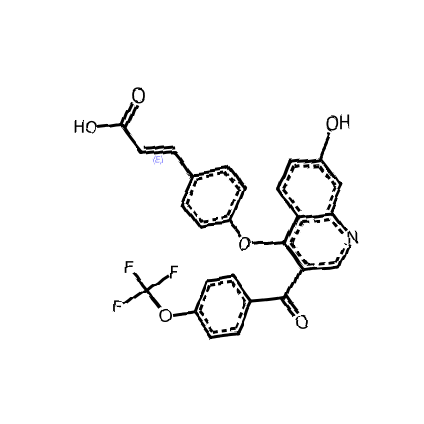 O=C(O)/C=C/c1ccc(Oc2c(C(=O)c3ccc(OC(F)(F)F)cc3)cnc3cc(O)ccc23)cc1